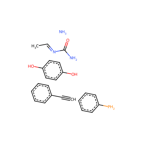 C#Cc1ccccc1.CC=NC(N)=O.N.Oc1ccc(O)cc1.Pc1ccccc1